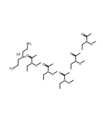 CCN(OC)C(C)=O.CCN(OC)C(C)=O.CCN(OC)C(C)=O.CCN(OC)C(C)=O.CCN(OC)C(C)=O.NCCNCCN.[Gd]